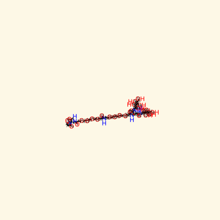 CC(=O)[C@H](CNC(=O)CCOCCOCCOCCOCCC(=O)NCCOCCOCCOCCOCCC(=O)N[C@@H](CCC(=O)NC[C@H](O)[C@@H](O)[C@H](O)[C@H](O)CO)C(=O)NC[C@H](O)[C@@H](O)[C@H](O)[C@H](O)CO)N1C(=O)C=CC1=O